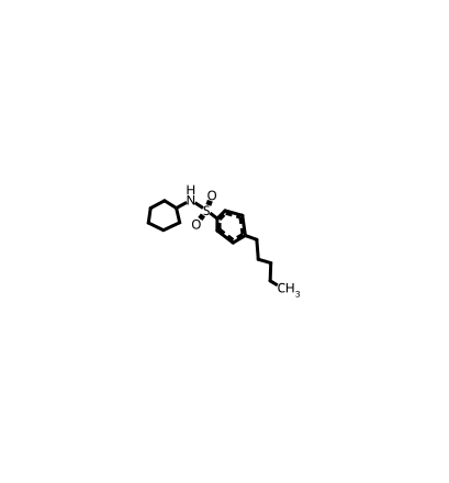 CCCCCc1ccc(S(=O)(=O)NC2CCCCC2)cc1